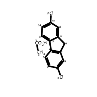 CC(=O)O.Clc1ccc2c(c1)Cc1cc(Cl)ccc1-2